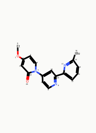 CCOc1ccn(-c2ccnc(-c3cccc(C(C)(C)C)n3)c2)c(=O)c1